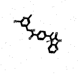 Cc1cc(CNC(=O)c2ccc(C(C)[C@@]3(C)C(=O)Nc4ncccc43)cc2)cc(C(C)C)n1